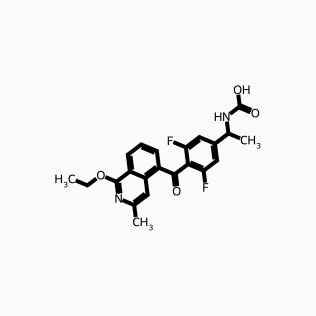 CCOc1nc(C)cc2c(C(=O)c3c(F)cc(C(C)NC(=O)O)cc3F)cccc12